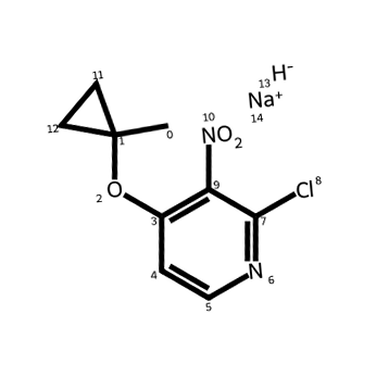 CC1(Oc2ccnc(Cl)c2[N+](=O)[O-])CC1.[H-].[Na+]